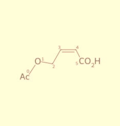 CC(=O)OC/C=C\C(=O)O